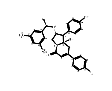 C[C@@H](O[C@H]1CN2C(=O)C=C(c3ccc(F)cc3)C[C@H]2C1c1ccc(F)cc1)c1cc(C(F)(F)F)cc(C(F)(F)F)c1